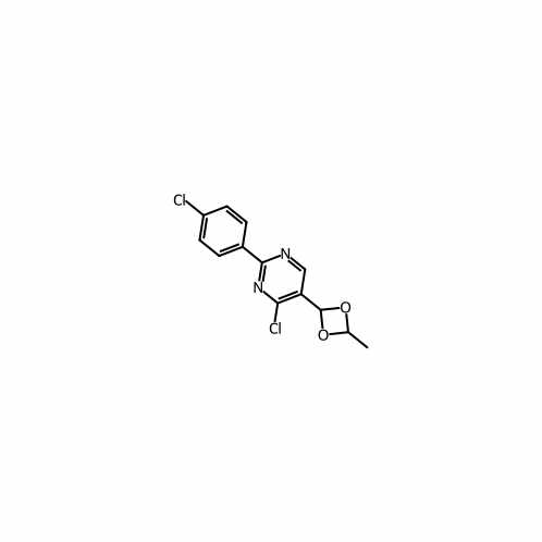 CC1OC(c2cnc(-c3ccc(Cl)cc3)nc2Cl)O1